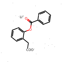 O=C([O-])Cc1ccccc1OC(=O)c1ccccc1.[Li+]